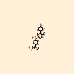 NC(=O)C1CCC(Nc2ncc(Cl)c(-c3ccc(F)cc3)n2)CC1